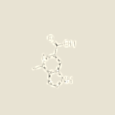 Cc1nc(C(=O)O)cc2[nH]ccc12